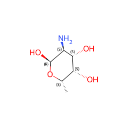 C[C@@H]1O[C@@H](O)[C@@H](N)[C@H](O)[C@@H]1O